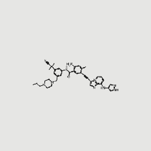 CCCN1CCN(Cc2cc(NC(=O)c3cc(C#Cc4cnc5c(Nc6cn[nH]c6)cccn45)c(C)cc3P)cc(C(C)(C)C#N)c2)CC1